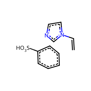 C=Cn1ccnc1.O=S(=O)(O)c1ccccc1